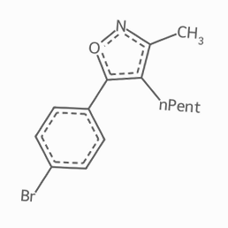 CCCCCc1c(C)noc1-c1ccc(Br)cc1